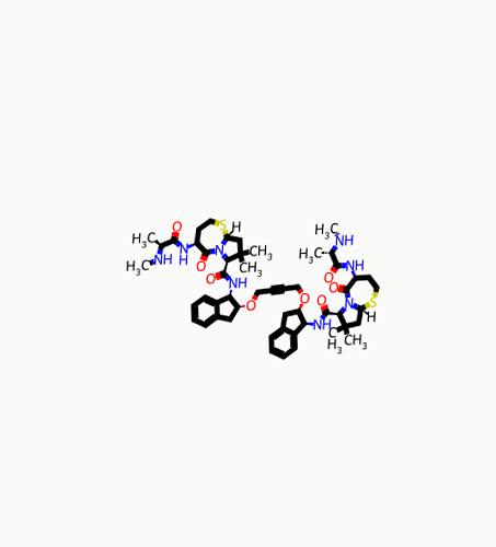 CN[C@@H](C)C(=O)N[C@H]1CCS[C@H]2CC(C)(C)[C@@H](C(=O)N[C@H]3c4ccccc4C[C@H]3OCC#CCO[C@@H]3Cc4ccccc4[C@@H]3NC(=O)[C@H]3N4C(=O)[C@@H](NC(=O)[C@H](C)NC)CCS[C@H]4CC3(C)C)N2C1=O